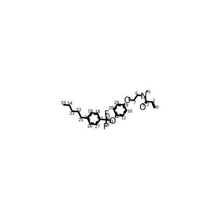 C=CC(=O)N(C)CCOc1ccc(OC(F)(F)c2ccc(CCCCC)cc2)cc1